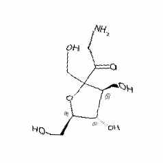 NCC(=O)C1(CO)O[C@H](CO)[C@@H](O)[C@@H]1O